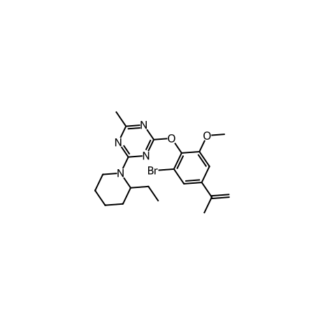 C=C(C)c1cc(Br)c(Oc2nc(C)nc(N3CCCCC3CC)n2)c(OC)c1